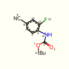 CC(C)(C)OC(=O)Nc1ccc(C#N)cc1F